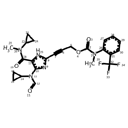 CN(C(=O)OCC#Cc1nc(N(C=O)C2CC2)c(C(=O)N(C)C2CC2)[nH]1)c1ccccc1C(F)(F)F